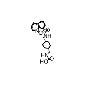 O=C(O)NC[C@H]1CC[C@H](CNS(=O)(=O)c2cccc3cccnc23)CC1